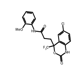 COc1ccccc1NC(=O)CCC1(C(F)(F)F)OC(=O)Nc2ccc(Cl)cc21